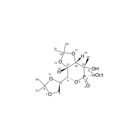 CCCCCCCC[P@]1(=O)O[C@H]([C@H]2COC(C)(C)O2)[C@@H]2OC(C)(C)O[C@@H]2[C@]1(C)O